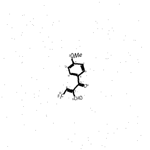 COc1ccc(C(=O)C(C=O)=CC(F)(F)F)cc1